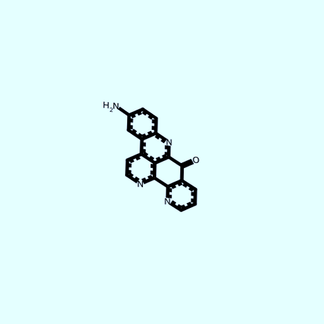 Nc1ccc2nc3c4c(nccc4c2c1)-c1ncccc1C3=O